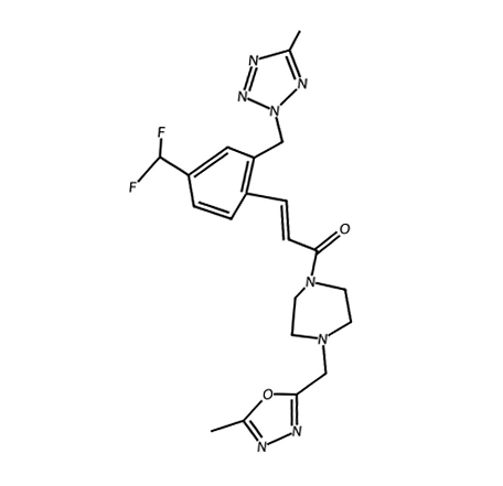 Cc1nnn(Cc2cc(C(F)F)ccc2/C=C/C(=O)N2CCN(Cc3nnc(C)o3)CC2)n1